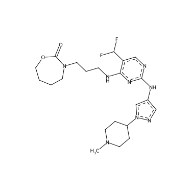 CN1CCC(n2cc(Nc3ncc(C(F)F)c(NCCCN4CCCCOC4=O)n3)cn2)CC1